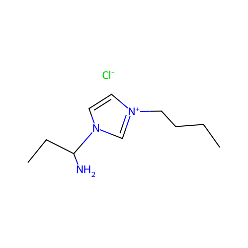 CCCC[n+]1ccn(C(N)CC)c1.[Cl-]